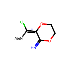 CN/C(Cl)=C1/OCCOC1=N